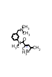 C=C(Br)/C=C(\C)C(=O)N(C)c1cccc(CN(C)C)c1